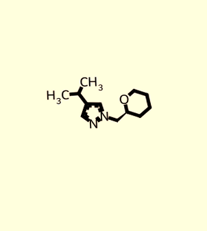 CC(C)c1cnn(C[C@@H]2CCCCO2)c1